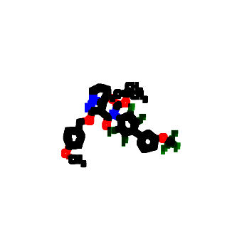 COc1ccc(COc2nn3ccccc3c2C(=O)N(C(=O)OC(C)(C)C)c2c(F)c(F)c(-c3cccc(OC(F)(F)F)c3)c(F)c2F)cc1